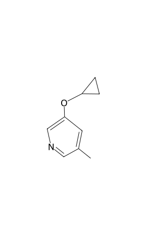 Cc1cncc(OC2CC2)c1